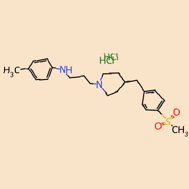 Cc1ccc(NCCCN2CCC(Cc3ccc(S(C)(=O)=O)cc3)CC2)cc1.Cl.Cl